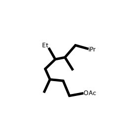 CCC(CC(C)CCOC(C)=O)C(C)CC(C)C